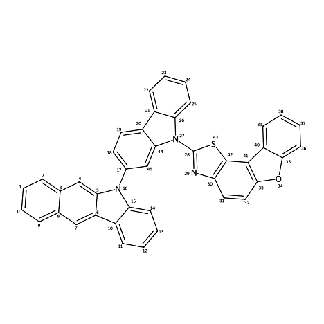 c1ccc2cc3c(cc2c1)c1ccccc1n3-c1ccc2c3ccccc3n(-c3nc4ccc5oc6ccccc6c5c4s3)c2c1